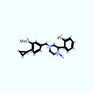 COc1cc(CN2CCN(I)C(c3ccccc3C(C)C)C2)ccc1C1CC1